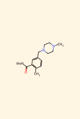 CNC(=O)c1cc(CN2CCN(C)CC2)ccc1C